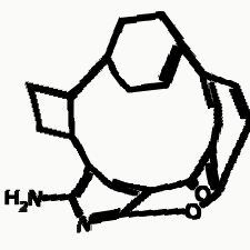 Nc1nc2oc3ccc4cc3c(=O)c2cc1C1CCC1C1CC=C4CC1